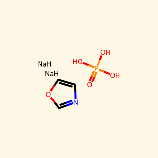 O=P(O)(O)O.[NaH].[NaH].c1cocn1